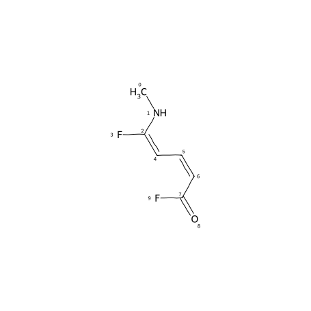 CN/C(F)=C\C=C/C(=O)F